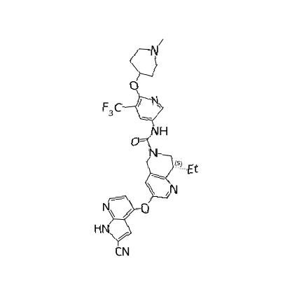 CC[C@H]1CN(C(=O)Nc2cnc(OC3CCN(C)CC3)c(C(F)(F)F)c2)Cc2cc(Oc3ccnc4[nH]c(C#N)cc34)cnc21